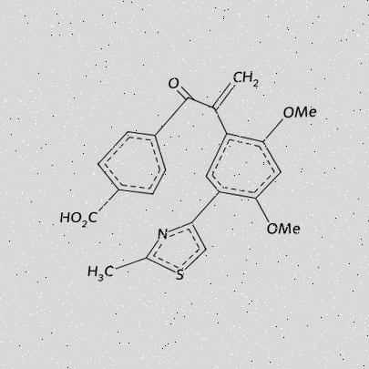 C=C(C(=O)c1ccc(C(=O)O)cc1)c1cc(-c2csc(C)n2)c(OC)cc1OC